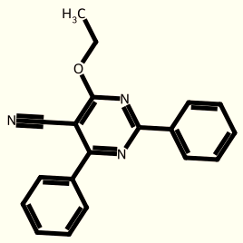 CCOc1nc(-c2ccccc2)nc(-c2ccccc2)c1C#N